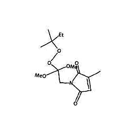 CCC(C)(C)OOC(CN1C(=O)C=C(C)C1=O)(OC)OC